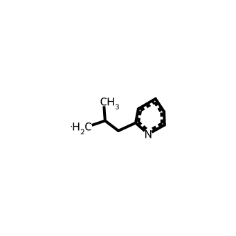 [CH2]C(C)Cc1ccccn1